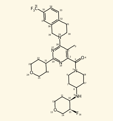 Cc1c(C(=O)N2CCC(N[C@@H]3CCOC[C@@H]3F)CC2)nc(C2CCOCC2)nc1N1CCc2ccc(C(F)(F)F)cc2C1